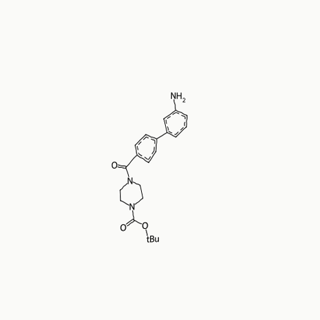 CC(C)(C)OC(=O)N1CCN(C(=O)c2ccc(-c3cccc(N)c3)cc2)CC1